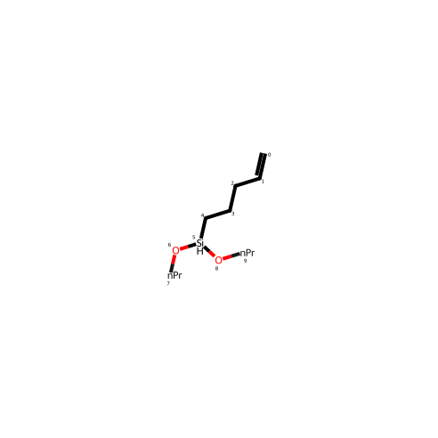 C=CCCC[SiH](OCCC)OCCC